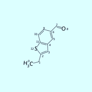 CCc1cc2cc(C=O)ccc2s1